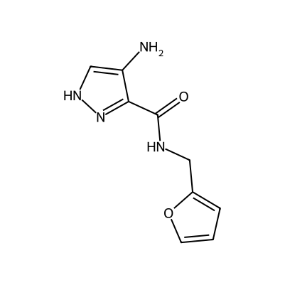 Nc1c[nH]nc1C(=O)NCc1ccco1